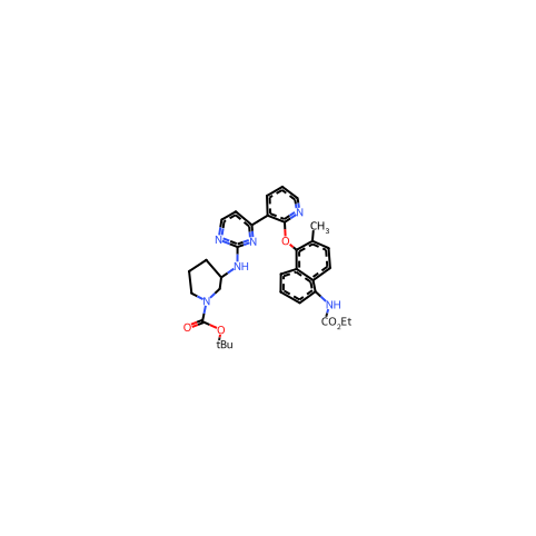 CCOC(=O)Nc1cccc2c(Oc3ncccc3-c3ccnc(NC4CCCN(C(=O)OC(C)(C)C)C4)n3)c(C)ccc12